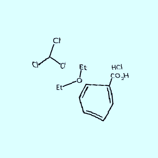 CCOCC.Cl.ClC(Cl)Cl.O=C(O)c1ccccc1